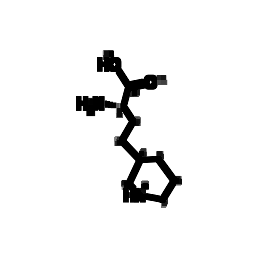 N[C@@H](CCC1CCCNC1)C(=O)O